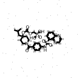 CC(C)CC1(OC(=O)OCP(=O)(O)O)CCN(C(=O)c2ccc(NS(=O)(=O)c3cccc4nccnc34)cc2)CC1